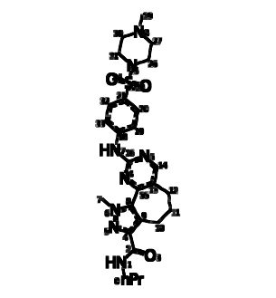 CCCNC(=O)c1nn(C)c2c1CCCc1cnc(Nc3ccc(S(=O)(=O)N4CCN(C)CC4)cc3)nc1-2